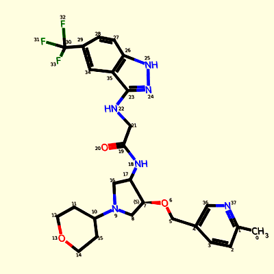 Cc1ccc(CO[C@H]2CN(C3CCOCC3)CC2NC(=O)CNc2n[nH]c3ccc(C(F)(F)F)cc23)cn1